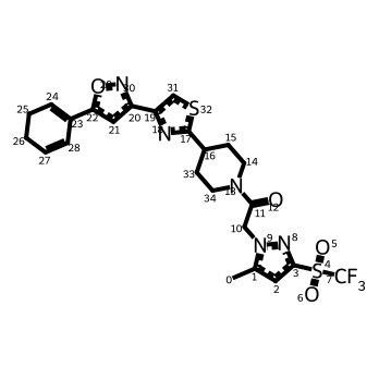 Cc1cc(S(=O)(=O)C(F)(F)F)nn1CC(=O)N1CCC(c2nc(-c3cc(C4=CCCC=C4)on3)cs2)CC1